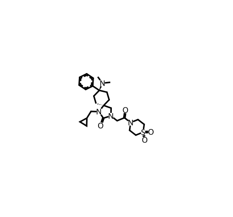 CN(C)[C@]1(c2ccccc2)CC[C@]2(CC1)CN(CC(=O)N1CCS(=O)(=O)CC1)C(=O)N2CC1CC1